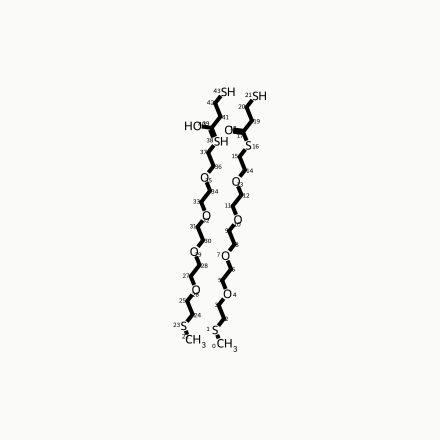 CSCCOCCOCCOCCOCCSC(=O)CCS.CSCCOCCOCCOCCOCC[SH]=C(O)CCS